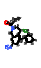 CCCC(=O)N1CCc2c(cc(N)cc2-c2ccccc2Cl)C1